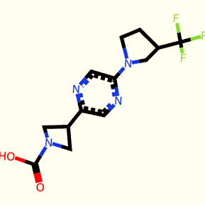 O=C(O)N1CC(c2cnc(N3CCC(C(F)(F)F)C3)cn2)C1